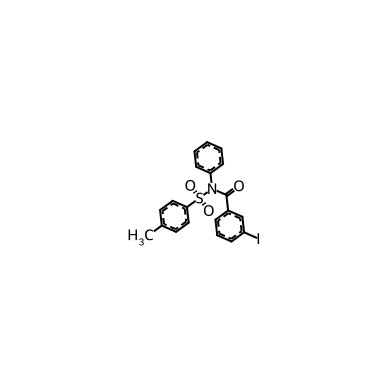 Cc1ccc(S(=O)(=O)N(C(=O)c2cccc(I)c2)c2ccccc2)cc1